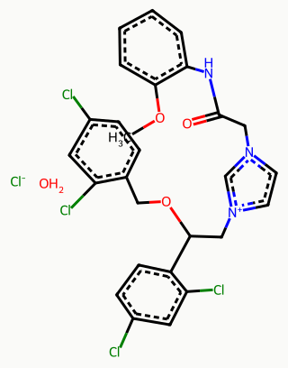 COc1ccccc1NC(=O)Cn1cc[n+](CC(OCc2ccc(Cl)cc2Cl)c2ccc(Cl)cc2Cl)c1.O.[Cl-]